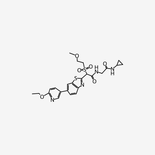 CCOc1ccc(-c2ccc3nc(C(C(=O)NCC(=O)NC4CC4)S(=O)(=O)CCOC)sc3c2)cn1